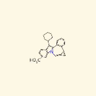 O=C(O)c1ccc2c(C3CCCCC3)c3n(c2c1)C=C1C=C1c1ccccc1-3